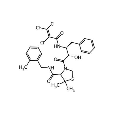 Cc1ccccc1CNC(=O)[C@H]1N(C(=O)[C@@H](O)[C@H](Cc2ccccc2)NC(=O)C(Cl)=C(Cl)Cl)CSC1(C)C